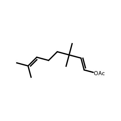 CC(=O)OC=CC(C)(C)CCC=C(C)C